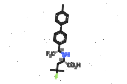 Cc1ccc(-c2ccc([C@H](N[C@@H](CC(C)(C)F)C(=O)O)C(F)(F)F)cc2)cc1